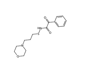 O=C(NSCCCN1CCOCC1)C(=O)c1ccccc1